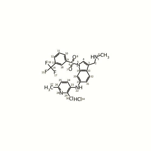 CNCc1cn(S(=O)(=O)c2cccc(C(F)(F)F)c2)c2cc(Nc3ccc(C)nc3Cl)ccc12.Cl